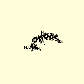 CC(=O)N1[C@H](C)CN(c2cc(-n3nc(Nc4ccc(N5CCN(C(=O)OCC(C)(C)C)CC5)cc4)nc3N)ncn2)C[C@@H]1C